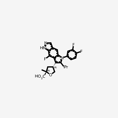 CC(C)c1c([C@@H]2CO[C@@](C)(C(=O)O)C2)c2c(F)c3[nH]ncc3cc2n1-c1ccc(F)c(F)c1